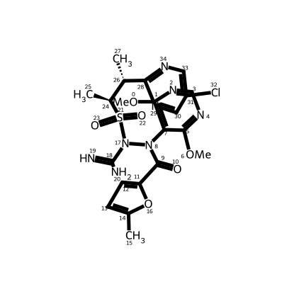 COc1ncnc(OC)c1N(C(=O)c1ccc(C)o1)N(C(=N)N)S(=O)(=O)[C@@H](C)[C@H](C)c1ncc(Cl)cn1